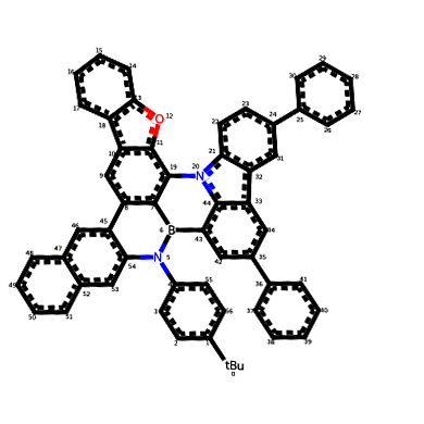 CC(C)(C)c1ccc(N2B3c4c(cc5c(oc6ccccc65)c4-n4c5ccc(-c6ccccc6)cc5c5cc(-c6ccccc6)cc3c54)-c3cc4ccccc4cc32)cc1